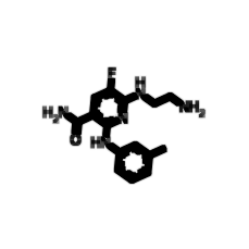 Cc1cccc(Nc2nc(NCCN)c(F)cc2C(N)=O)c1